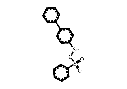 O=S(=O)(O[Se]c1ccc(-c2ccccc2)cc1)c1ccccc1